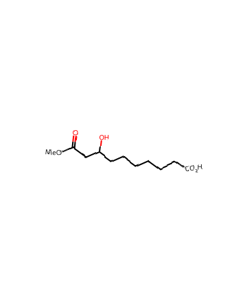 COC(=O)CC(O)CCCCCCC(=O)O